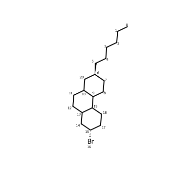 CCCCCC[C@H]1CCC2C(CCC3C[C@@H](Br)CCC32)C1